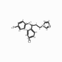 Fc1ccc(SC(CCn2ccnc2)c2ccc(Cl)cc2)cc1